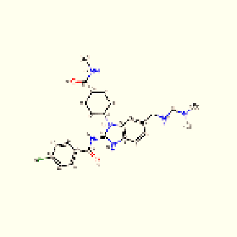 CCN(CC)CNCc1ccc2[nH]/c(=N\C(=O)c3ccc(F)cc3)n([C@H]3CC[C@@H](C(=O)NC(C)C)CC3)c2c1